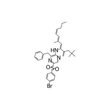 C=C(CC(C)(C)C)/C(=C/C(C)=C/C=C\CCC)Nc1ncc(S(=O)(=O)c2ccc(Br)cc2)nc1Cc1ccccc1